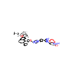 CC(C)(C)Oc1ccc2c(c1)CC[C@H](c1ccccc1)[C@@H]2c1ccc(OCCCN2CCN(c3ccc(-c4cnn(C5CCC(=O)NC5=O)c4)cc3)CC2)cc1